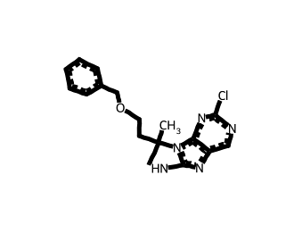 CC1(CCOCc2ccccc2)CNc2nc3cnc(Cl)nc3n21